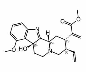 C=C[C@H]1CN2CC[C@@]3(O)C(=Nc4cccc(OC)c43)[C@@H]2C[C@@H]1C(=C)C(=O)OC